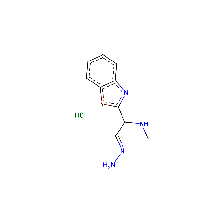 CNC(C=NN)c1nc2ccccc2s1.Cl